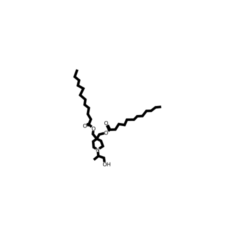 CCCCCCCCCCCC(=O)OCC1(COC(=O)CCCCCCCCCCC)CCN(C(C)CO)CC1